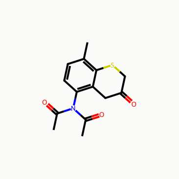 CC(=O)N(C(C)=O)c1ccc(C)c2c1CC(=O)CS2